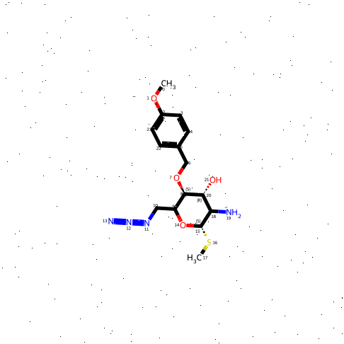 COc1ccc(CO[C@@H]2C(CN=[N+]=[N-])O[C@@H](SC)C(N)[C@H]2O)cc1